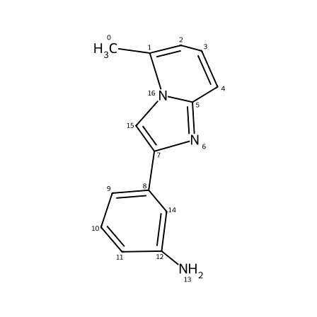 Cc1cccc2nc(-c3cccc(N)c3)cn12